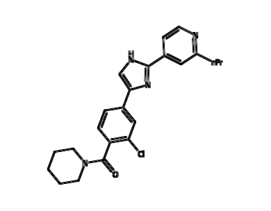 CCCc1cc(-c2nc(-c3ccc(C(=O)N4CCCCC4)c(Cl)c3)c[nH]2)ccn1